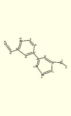 COc1cnnc(-c2ccnc(C=O)c2)c1